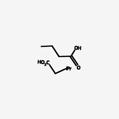 CC(C)CC(=O)O.CCCC(=O)O